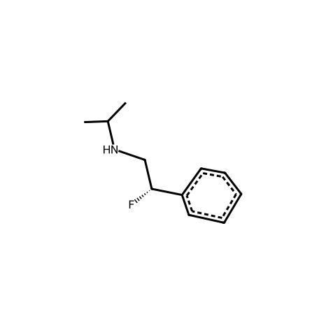 CC(C)NC[C@@H](F)c1ccccc1